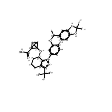 C[C@H](Oc1cc(-n2nc(C(F)(F)F)c3c2[C@H](OC2C4CC2(C(=O)O)C4)CCC3)ccc1F)c1ccc2c(c1)OC(F)(F)O2